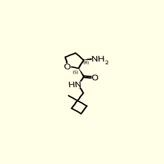 CC1(CNC(=O)[C@H]2OCC[C@H]2N)CCC1